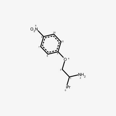 CC(C)C(N)COc1ccc([N+](=O)[O-])cc1